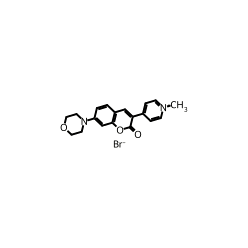 C[n+]1ccc(-c2cc3ccc(N4CCOCC4)cc3oc2=O)cc1.[Br-]